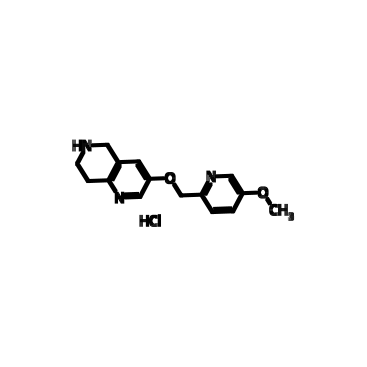 COc1ccc(COc2cnc3c(c2)CNCC3)nc1.Cl